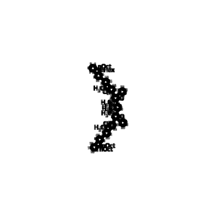 CCCCCCCCC1(CCCCCC)c2ccccc2-c2ccc(-c3ccc4c(c3)C(C)(C)c3cc(-c5cc6c(c7oc8ccccc8c57)-c5ccc7c(c5[Si]6(C)C)[Si](C)(C)c5cc(-c6ccc8c(c6)C(C)(C)c6cc(-c9ccc%10c(c9)C(CCCCCCCC)(CCCCCCCC)c9ccccc9-%10)ccc6-8)c6c(oc8ccccc86)c5-7)ccc3-4)cc21